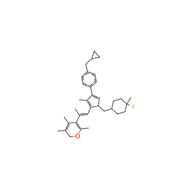 CC1=C(C)C(/C(C)=C/C2=C(C)C(c3ccc(CC4CC4)cc3)=CC2CC2CCC(C)(F)CC2)=C(C)OC1